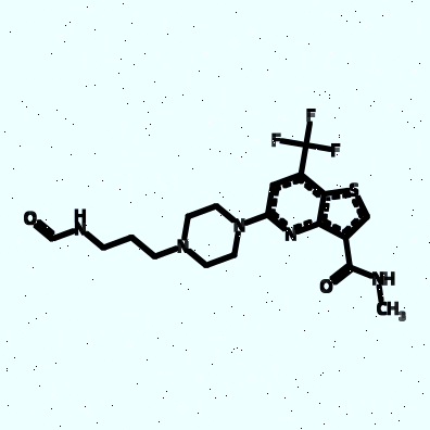 CNC(=O)c1csc2c(C(F)(F)F)cc(N3CCN(CCCNC=O)CC3)nc12